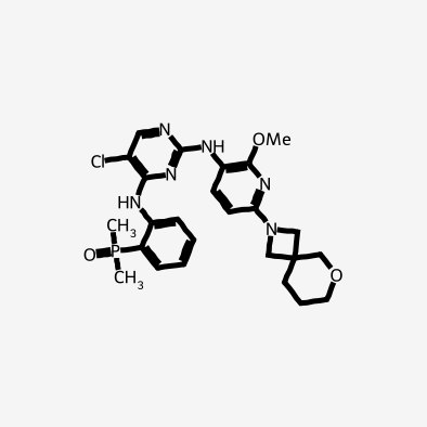 COc1nc(N2CC3(CCCOC3)C2)ccc1Nc1ncc(Cl)c(Nc2ccccc2P(C)(C)=O)n1